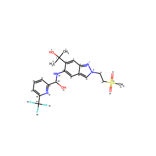 CC(C)(O)c1cc2nn(CCS(C)(=O)=O)cc2cc1NC(O)c1cccc(C(F)(F)F)n1